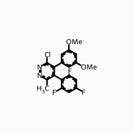 COc1cc(OC)cc(-c2c(Cl)nnc(C)c2-c2c(F)cc(F)cc2F)c1